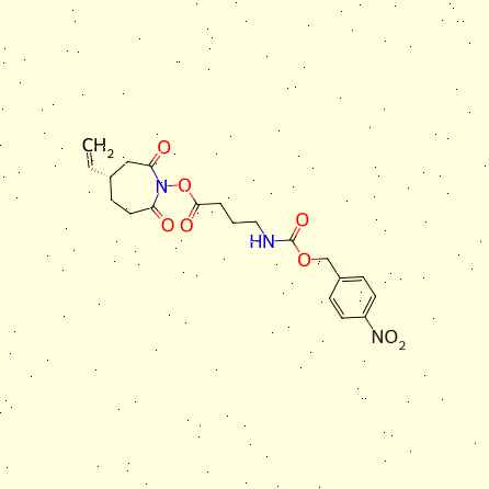 C=C[C@H]1CCC(=O)N(OC(=O)CCCNC(=O)OCc2ccc([N+](=O)[O-])cc2)C(=O)C1